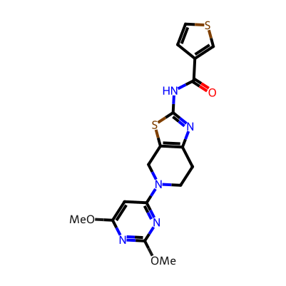 COc1cc(N2CCc3nc(NC(=O)c4ccsc4)sc3C2)nc(OC)n1